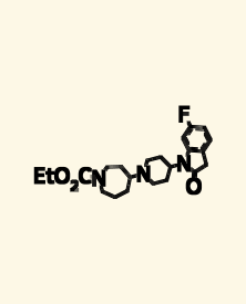 CCOC(=O)N1CCCC(N2CCC(N3C(=O)Cc4ccc(F)cc43)CC2)CC1